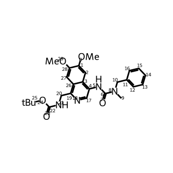 COc1cc2c(NC(=O)N(C)Cc3ccccc3)cnc(CNC(=O)OC(C)(C)C)c2cc1OC